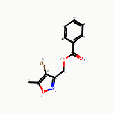 Cc1onc(COC(=O)c2ccccc2)c1Br